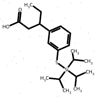 CCC(CC(=O)O)c1cccc(S[Si](C(C)C)(C(C)C)C(C)C)c1